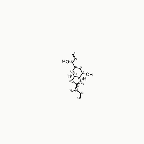 C=C[C@@H](O)C1C[C@H](O)[C@H]2N=C(N(C)CC)S[C@H]2O1